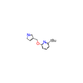 CC(C)(C)c1cccc(OCC2=CCN=C2)n1